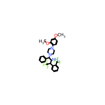 COc1ccc(N2CCN(C(c3ccccc3)C(N)C(c3ccccc3C(F)(F)F)C(F)(F)F)CC2)c(OC)c1